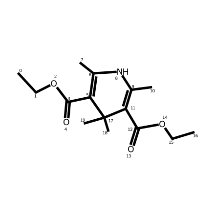 CCOC(=O)C1=C(C)NC(C)=C(C(=O)OCC)C1(C)C